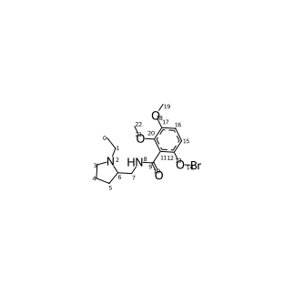 CCN1CCCC1CNC(=O)c1c(OBr)ccc(OC)c1OC